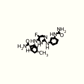 C[C@@H]1C[C@@H]2C[C@H]1[C@@H](Nc1nc(Nc3cccc(NC(N)=O)c3)ncc1F)[C@H]2C(N)=O